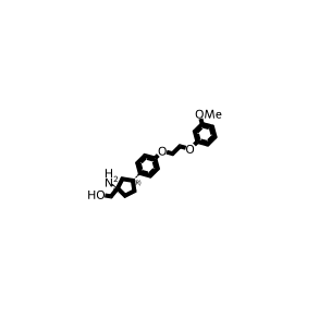 COc1cccc(OCCOc2ccc([C@@H]3CC[C@@](N)(CO)C3)cc2)c1